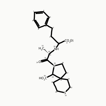 CCOC(=O)C(CCc1ccccc1)N[C@@H](C)C(=O)N1CCC2(CCSCC2)C1C(=O)O